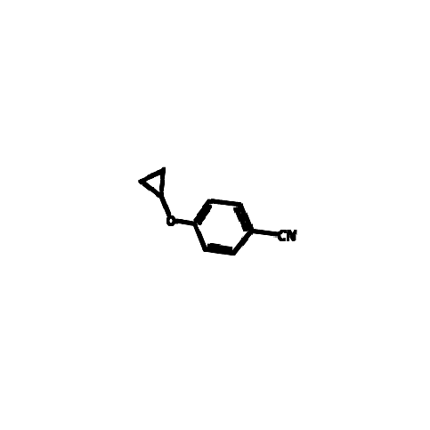 N#Cc1ccc(OC2CC2)cc1